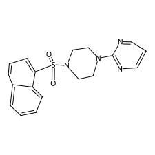 O=S(=O)(c1cccc2ccccc12)N1CCN(c2ncccn2)CC1